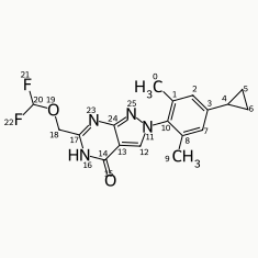 Cc1cc(C2CC2)cc(C)c1-n1cc2c(=O)[nH]c(COC(F)F)nc2n1